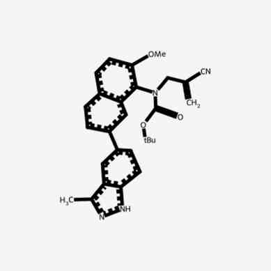 C=C(C#N)CN(C(=O)OC(C)(C)C)c1c(OC)ccc2ccc(-c3ccc4[nH]nc(C)c4c3)cc12